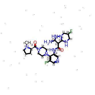 CN1CCC[C@@H]1C(=O)N1CCN(c2c(F)cncc2NC(=O)C2C(N)NN3CC(F)CNC23)CC1